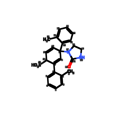 Cc1ccccc1C1=CC(c2ccccc2C)(N2CCNC2=O)C=CC1S(=O)(=O)O